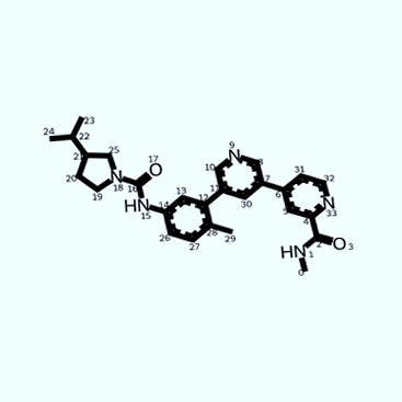 CNC(=O)c1cc(-c2cncc(-c3cc(NC(=O)N4CCC(C(C)C)C4)ccc3C)c2)ccn1